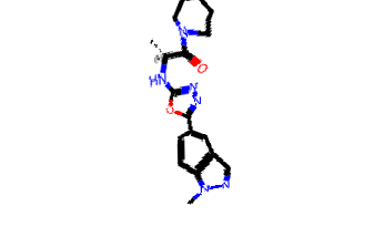 C[C@@H](Nc1nnc(-c2ccc3c(cnn3C)c2)o1)C(=O)N1CCC2(CC1)CC2